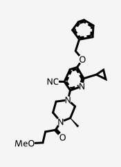 COCCC(=O)N1CCN(c2nc(C3CC3)c(OCc3ccccc3)cc2C#N)C[C@H]1C